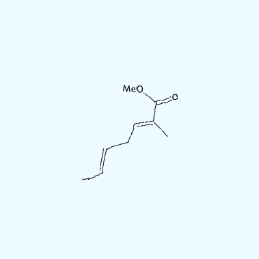 CC=CCC=C(C)C(=O)OC